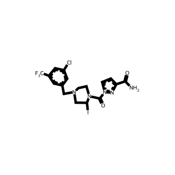 NC(=O)c1ccn(C(=O)N2CCN(Cc3cc(Cl)cc(C(F)(F)F)c3)CC2I)n1